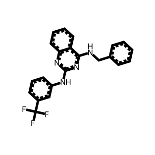 FC(F)(F)c1cccc(Nc2nc(NCc3ccccc3)c3ccccc3n2)c1